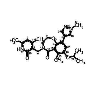 Cc1cc(C)c(CN2CCOc3c(-c4cnn(C)c4)cc(OC(C)C)c(C)c3C2=O)c(=O)[nH]1